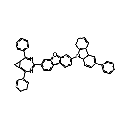 C1=CC(C2=C3CC3C(c3ccccc3)=NC(c3ccc4c(c3)oc3cc(N5C6=C(C=CCC6)C6C=C(c7ccccc7)C=CC65)ccc34)=N2)=CCC1